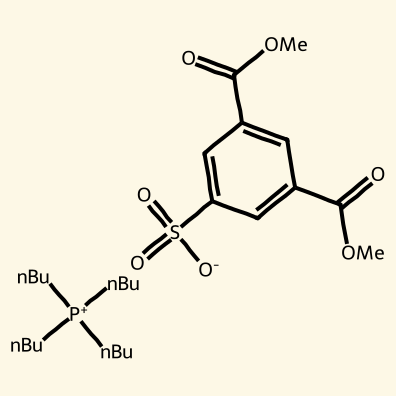 CCCC[P+](CCCC)(CCCC)CCCC.COC(=O)c1cc(C(=O)OC)cc(S(=O)(=O)[O-])c1